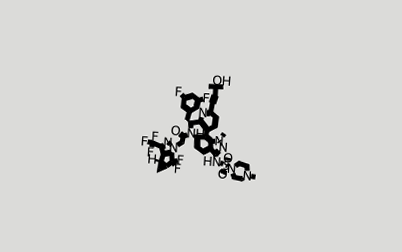 CN1CCN(S(=O)(=O)Nc2nn(C)c3c(-c4ccc(C#CC(C)(C)O)nc4[C@H](Cc4cc(F)cc(F)c4)NC(=O)Cn4nc(C(F)(F)F)c5c4C(F)(F)C4C[C@H]54)cccc23)CC1